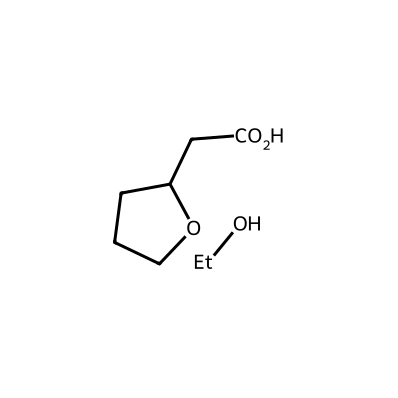 CCO.O=C(O)CC1CCCO1